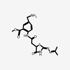 COC(=O)c1cc(CN)ccc1NC(=O)CC1SC(=NN=C(C)C)NC1=O